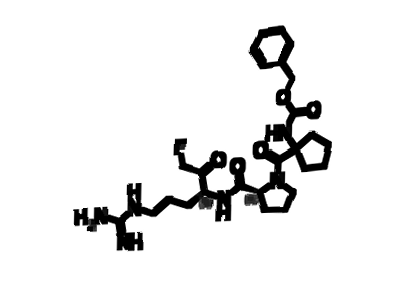 N=C(N)NCCC[C@H](NC(=O)[C@@H]1CCCN1C(=O)C1(NC(=O)OCc2ccccc2)CCCC1)C(=O)CF